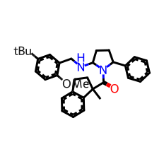 COc1ccc(C(C)(C)C)cc1CNC1CCC(c2ccccc2)N1C(=O)C1(C)CCc2ccccc21